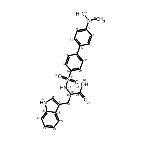 CN(C)c1ccc(-c2ccc(S(=O)(=O)N[C@H](Cc3c[nH]c4ccccc34)C(=O)O)cc2)cc1